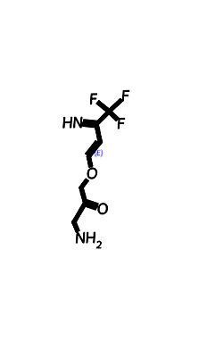 N=C(/C=C/OCC(=O)CN)C(F)(F)F